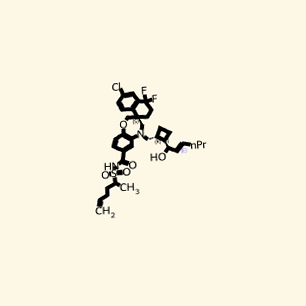 C=CCCC(C)S(=O)(=O)NC(=O)c1ccc2c(c1)N(C[C@@H]1CC[C@H]1C(O)/C=C/CCC)C[C@@]1(CCC(F)(F)c3cc(Cl)ccc31)CO2